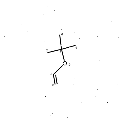 C=[C]OC(C)(C)C